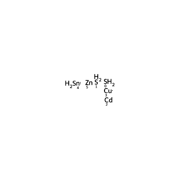 S.S.[Cd].[Cu].[SnH2].[Zn]